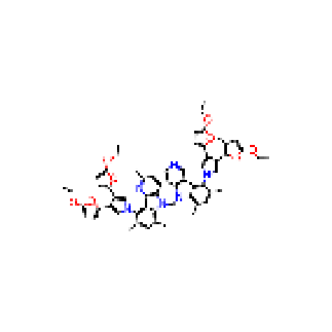 CCOC1=CC(C)C(c2cn(-c3c(C)cc(C)c4c3c3cnccc3n4Cn3c4ccc(C)nc4c4c(-n5cc(-c6ccc(OCC)o6)c(-c6ccc(OCC)o6)c5)c(C)cc(C)c43)cc2-c2ccc(OCC)o2)O1